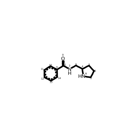 O=C(NCC1CCCN1)c1ccccc1